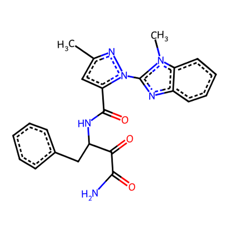 Cc1cc(C(=O)NC(Cc2ccccc2)C(=O)C(N)=O)n(-c2nc3ccccc3n2C)n1